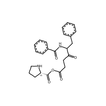 O=C(CCC(=O)C(Cc1ccccc1)NC(=O)c1ccccc1)OC(=O)[C@@H]1CCCN1